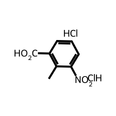 Cc1c(C(=O)O)cccc1[N+](=O)[O-].Cl.Cl